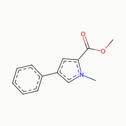 COC(=O)c1cc(-c2ccccc2)cn1C